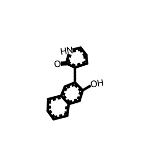 O=c1[nH]cccc1-c1cc2ccccc2cc1O